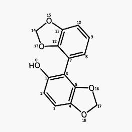 Oc1ccc2c(c1-c1cccc3c1OCO3)OCO2